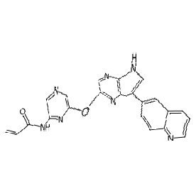 C=CC(=O)Nc1cncc(Oc2cnc3[nH]cc(-c4ccc5ncccc5c4)c3n2)n1